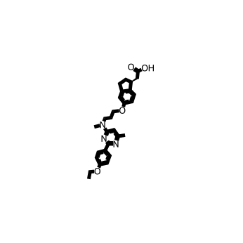 CCOc1ccc(-c2nc(C)cc(N(C)CCCOc3ccc4c(c3)CC[C@H]4CC(=O)O)n2)cc1